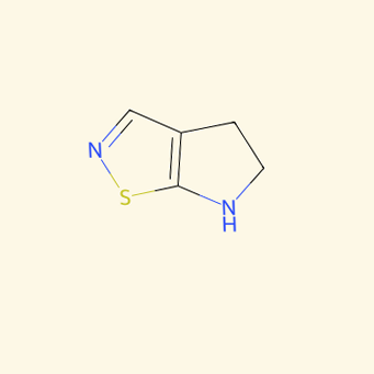 c1nsc2c1CCN2